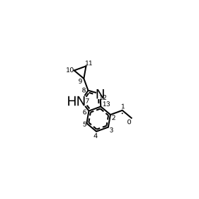 C[CH]c1cccc2[nH]c(C3CC3)nc12